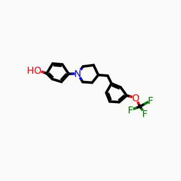 Oc1ccc(N2CCC(Cc3cccc(OC(F)(F)F)c3)CC2)cc1